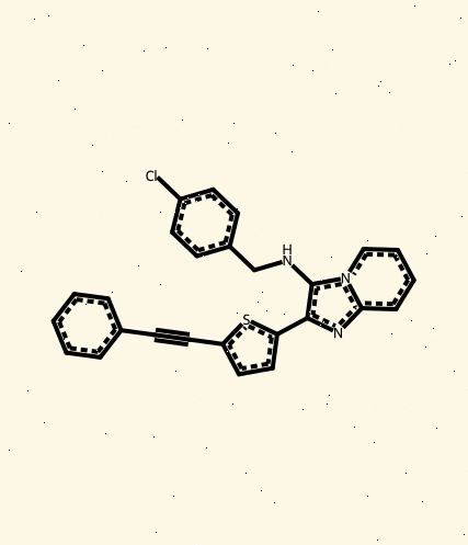 Clc1ccc(CNc2c(-c3ccc(C#Cc4ccccc4)s3)nc3ccccn23)cc1